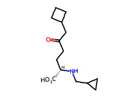 O=C(CC[C@H](NCC1CC1)C(=O)O)CC1CCC1